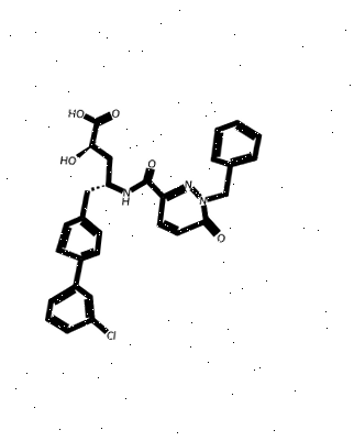 O=C(N[C@H](Cc1ccc(-c2cccc(Cl)c2)cc1)C[C@@H](O)C(=O)O)c1ccc(=O)n(Cc2ccccc2)n1